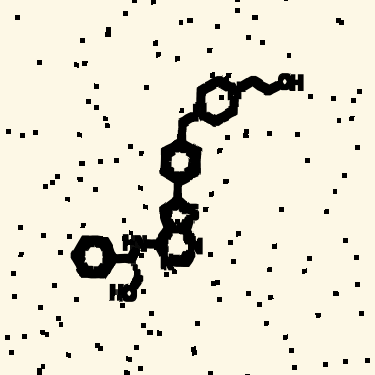 OCCN1CCN(Cc2ccc(-c3cc4c(N[C@H](CO)c5ccccc5)ncnc4s3)cc2)CC1